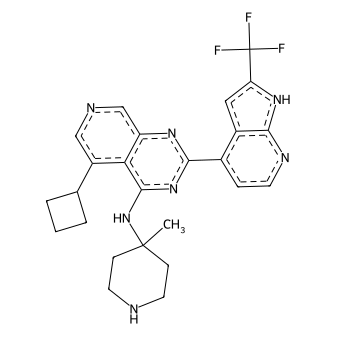 CC1(Nc2nc(-c3ccnc4[nH]c(C(F)(F)F)cc34)nc3cncc(C4CCC4)c23)CCNCC1